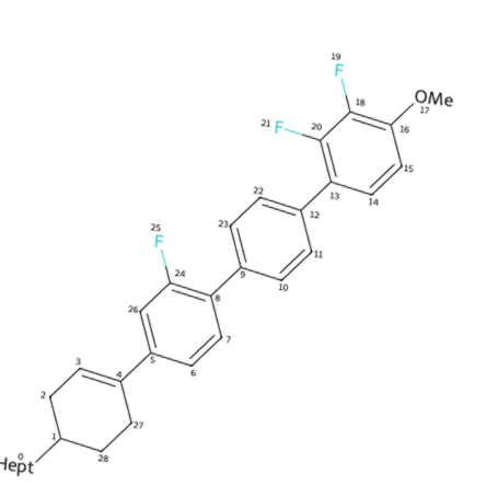 CCCCCCCC1CC=C(c2ccc(-c3ccc(-c4ccc(OC)c(F)c4F)cc3)c(F)c2)CC1